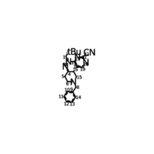 CC(C)(C)CN(N=C1CCN(Cc2ccccc2)CC1)c1ccnc(C#N)n1